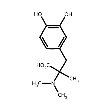 CN(C)C(C)(Cc1ccc(O)c(O)c1)C(=O)O